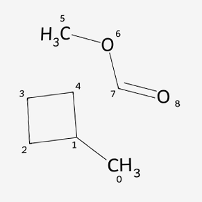 CC1CCC1.COC=O